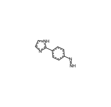 N=Nc1ccc(-c2ncc[nH]2)cc1